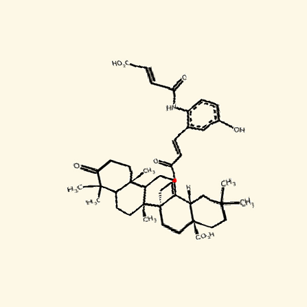 CC1(C)CC[C@]2(C(=O)O)CC[C@]3(COC(=O)/C=C/c4cc(O)ccc4NC(=O)/C=C/C(=O)O)C(=CCC4[C@@]5(C)CCC(=O)C(C)(C)C5CC[C@]43C)[C@@H]2C1